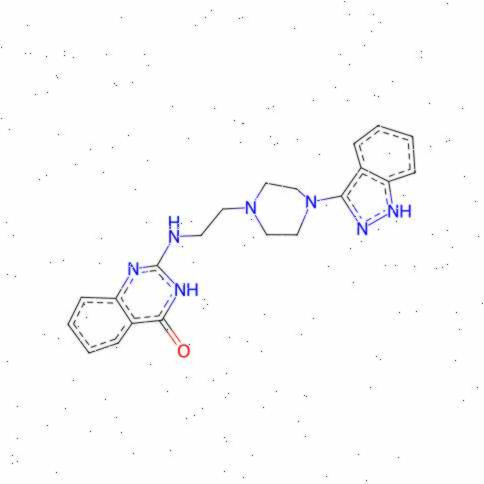 O=c1[nH]c(NCCN2CCN(c3n[nH]c4ccccc34)CC2)nc2ccccc12